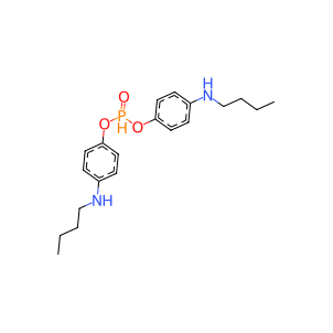 CCCCNc1ccc(O[PH](=O)Oc2ccc(NCCCC)cc2)cc1